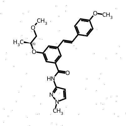 COC[C@H](C)Oc1cc(C=Cc2ccc(OC)cc2)cc(C(=O)Nc2ccn(C)n2)c1